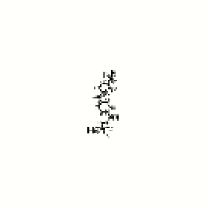 Cc1nc([C@H](C)C2CCN(C(=O)[C@H]3C[C@@](C)(O)C3)CC2)ccc1C(F)(F)F